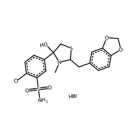 Br.CN1C(Cc2ccc3c(c2)OCO3)SCC1(O)c1ccc(Cl)c(S(N)(=O)=O)c1